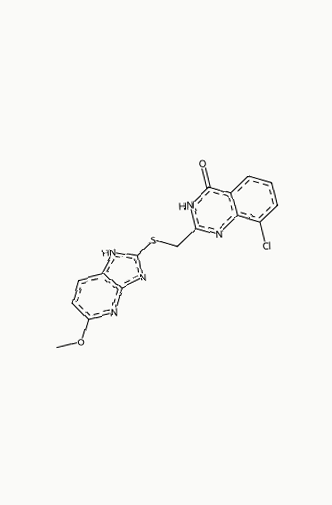 COc1ccc2[nH]c(SCc3nc4c(Cl)cccc4c(=O)[nH]3)nc2n1